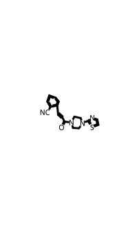 N#Cc1ccccc1C#CC(=O)N1CCN(c2nccs2)CC1